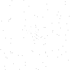 c1ccc(-c2nc(-c3ccc4ccccc4c3)nc(-n3c4ccccc4c4c5c6ccccc6n(-c6cccc7ccccc67)c5ccc43)n2)cc1